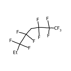 CCC(F)(F)C(F)(F)CC(F)(F)C(F)(F)C(F)(F)F